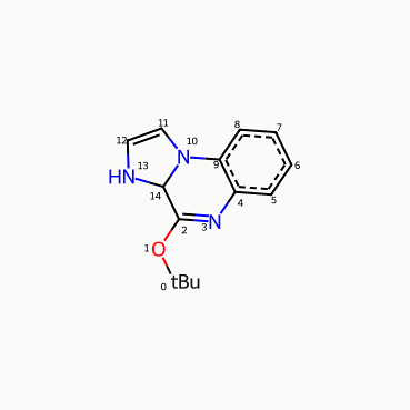 CC(C)(C)OC1=Nc2ccccc2N2C=CNC12